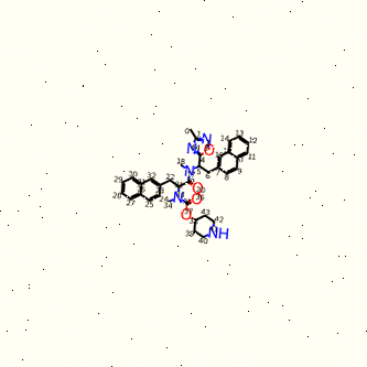 Cc1noc(C(Cc2ccc3ccccc3c2)N(C)C(=O)C(Cc2ccc3ccccc3c2)N(C)C(=O)OC2CCNCC2)n1